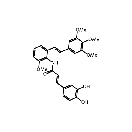 COc1cccc(C=Cc2cc(OC)c(OC)c(OC)c2)c1NC(=O)/C=C/c1ccc(O)c(O)c1